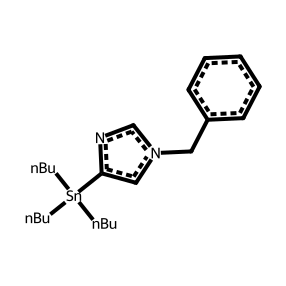 CCC[CH2][Sn]([CH2]CCC)([CH2]CCC)[c]1cn(Cc2ccccc2)cn1